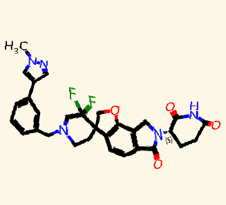 Cn1cc(-c2cccc(CN3CCC4(COc5c4ccc4c5CN([C@H]5CCC(=O)NC5=O)C4=O)C(F)(F)C3)c2)cn1